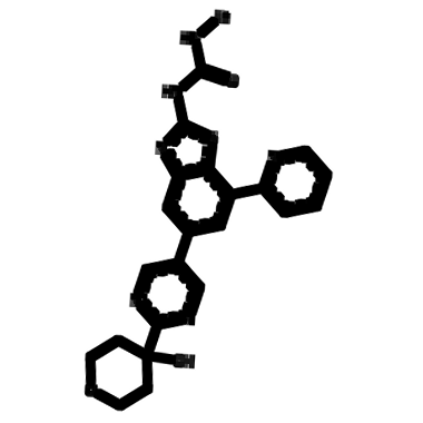 CCNC(=O)Nc1nc2cc(-c3cnc(C4(O)CCOCC4)nc3)cc(-c3ccccn3)c2s1